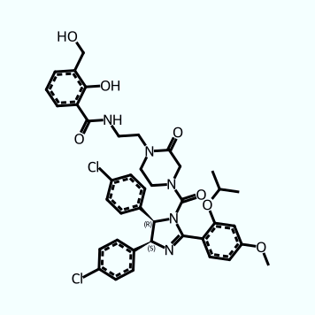 COc1ccc(C2=N[C@@H](c3ccc(Cl)cc3)[C@@H](c3ccc(Cl)cc3)N2C(=O)N2CCN(CCNC(=O)c3cccc(CO)c3O)C(=O)C2)c(OC(C)C)c1